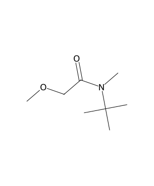 COCC(=O)N(C)C(C)(C)C